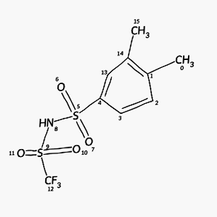 Cc1ccc(S(=O)(=O)NS(=O)(=O)C(F)(F)F)cc1C